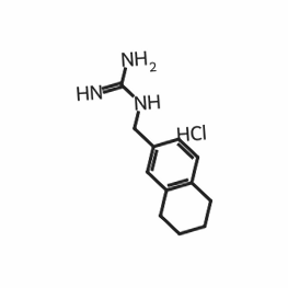 Cl.N=C(N)NCc1ccc2c(c1)CCCC2